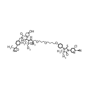 Cc1ncoc1-c1ccc(CNC(=O)[C@@H]2C[C@@H](O)CN2C(=O)[C@@H](NC(=O)COCCCOCCCCOc2ccc(N3C(=S)N(c4cnc(C#N)c(Cl)c4)C(=O)C3(C)C)cc2)C(C)(C)C)cc1